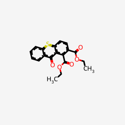 CCOC(=O)c1ccc2sc3ccccc3c(=O)c2c1C(=O)OCC